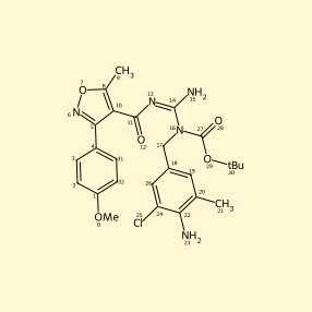 COc1ccc(-c2noc(C)c2C(=O)N=C(N)N(Cc2cc(C)c(N)c(Cl)c2)C(=O)OC(C)(C)C)cc1